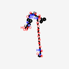 CC[C@@]1(O)C(=O)OCc2c1cc1n(c2=O)Cc2c-1nc1ccc(NC(=O)[C@H](C)NC(=O)[C@@H](NC(=O)CC[C@H](NC(=O)CCOCCOCCOCCOCCOCCOCCOCCOCCNC(=O)CCN3C(=O)C=CC3=O)C(=O)OCC3c4ccccc4-c4ccccc43)C(C)C)c3c1c2CCC3